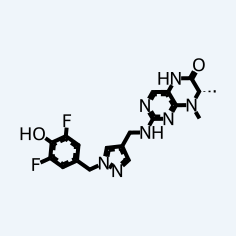 C[C@H]1C(=O)Nc2cnc(NCc3cnn(Cc4cc(F)c(O)c(F)c4)c3)nc2N1C